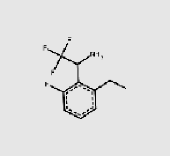 CCc1cccc(F)c1C(N)C(F)(F)F